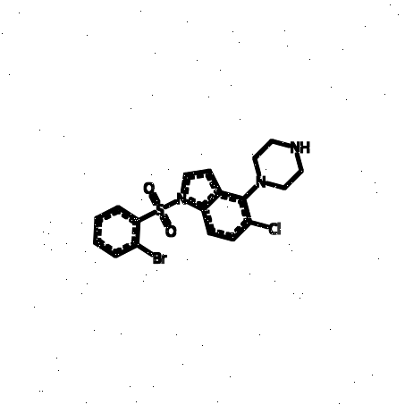 O=S(=O)(c1ccccc1Br)n1ccc2c(N3CCNCC3)c(Cl)ccc21